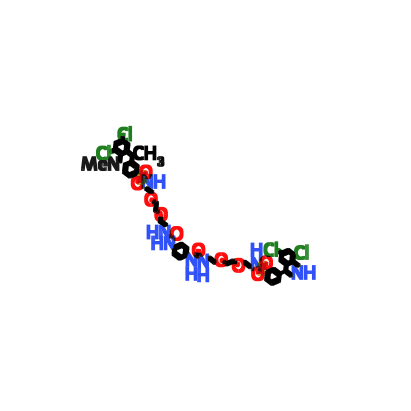 CNCc1c(Cl)cc(Cl)cc1[C@@H](C)c1cccc(S(=O)(=O)NCCOCCOCCNC(=O)Nc2ccc(NC(=O)NCCOCCOCCNS(=O)(=O)c3cccc([C@@H]4CNCc5c(Cl)cc(Cl)cc54)c3)cc2)c1